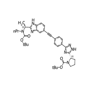 CCCN(C(=O)OC(C)(C)C)[C@@H](C)c1nc2cc(C#Cc3ccc(-c4n[nH]c([C@@H]5CCCN5C(=O)OC(C)(C)C)n4)cc3)ccc2[nH]1